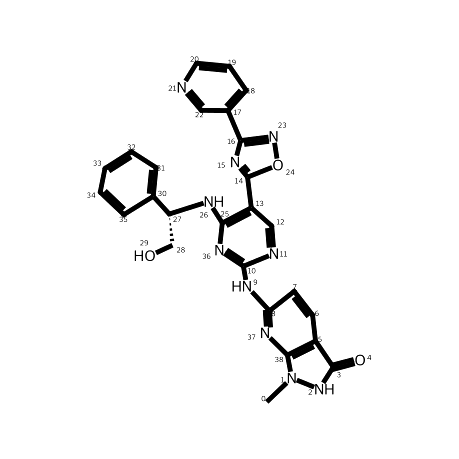 Cn1[nH]c(=O)c2ccc(Nc3ncc(-c4nc(-c5cccnc5)no4)c(N[C@H](CO)c4ccccc4)n3)nc21